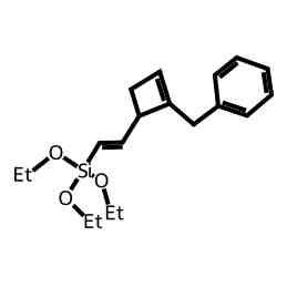 CCO[Si](C=CC1CC=C1Cc1ccccc1)(OCC)OCC